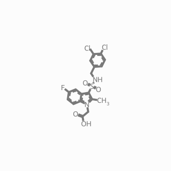 Cc1c(S(=O)(=O)NCc2ccc(Cl)c(Cl)c2)c2cc(F)ccc2n1CC(=O)O